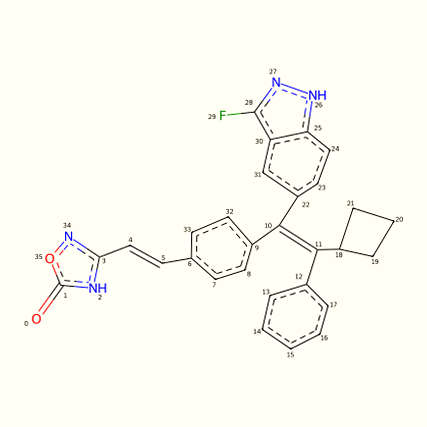 O=c1[nH]c(C=Cc2ccc(/C(=C(\c3ccccc3)C3CCC3)c3ccc4[nH]nc(F)c4c3)cc2)no1